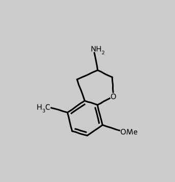 COc1ccc(C)c2c1OCC(N)C2